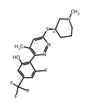 Cc1cc(S[C@@H]2CCCN(C)C2)nnc1-c1c(O)cc(C(F)(F)F)cc1F